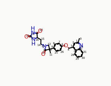 Cc1cc(COc2ccc(C3(C)CN(CCC4NC(=O)NC4=O)C3=O)cc2)c2ccccc2n1